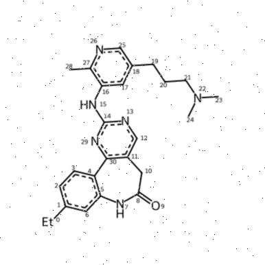 CCc1ccc2c(c1)NC(=O)Cc1cnc(Nc3cc(CCCN(C)C)cnc3C)nc1-2